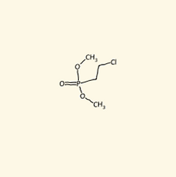 COP(=O)(CCCl)OC